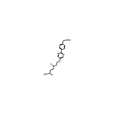 CCCCCCCCCCCc1ccc(-c2ncc(OCCC(F)CCC(F)CCC)cn2)cc1